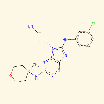 CC1(Nc2ncc3nc(Nc4cccc(Cl)c4)n(C4CC(N)C4)c3n2)CCOCC1